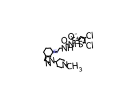 CN1CCC(n2ncc3c2/C(=C/CNC(=O)N[S+]([O-])c2cc(Cl)c(Cl)s2)CCC3)CC1